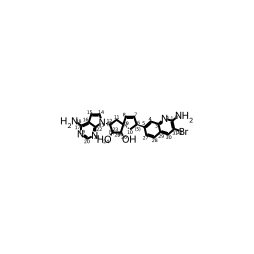 Nc1nc2cc([C@@H]3C=C[C@]4(C3)C[C@@H](n3ccc5c(N)ncnc53)[C@H](O)[C@@H]4O)ccc2cc1Br